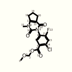 COCOC(=O)c1cc(-n2c(=O)c3c(n(C)c2=O)CCC3)c(F)cc1Cl